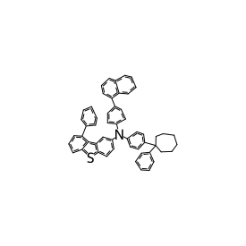 c1ccc(-c2cccc3sc4ccc(N(c5ccc(-c6cccc7ccccc67)cc5)c5ccc(C6(c7ccccc7)CCCCCC6)cc5)cc4c23)cc1